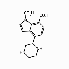 O=C(O)c1ccc(C2CNCCN2)c2ccn(C(=O)O)c12